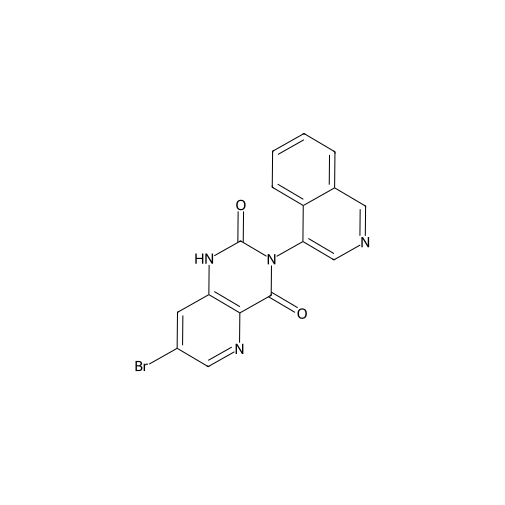 O=c1[nH]c2cc(Br)cnc2c(=O)n1-c1cncc2ccccc12